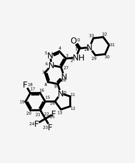 O=C(Nc1cnn2ccc(N3CCCC3c3cc(F)ccc3C(F)(F)F)nc12)N1CCCCC1